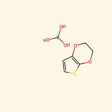 OB(O)O.c1cc2c(s1)OCCO2